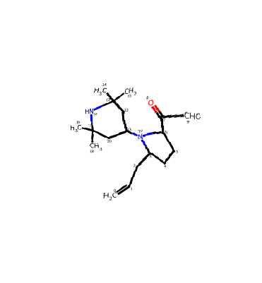 C=CCC1CCC(C(=O)C=O)N1C1CC(C)(C)NC(C)(C)C1